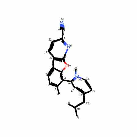 Cc1ccc2c(oc3nc(C#N)ccc32)c1-c1cc(CC(C)C)cc[n+]1C